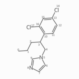 CCCC(Cn1ccnc1)c1ccc(Cl)cc1Cl